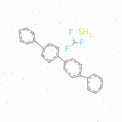 FC(F)F.S.c1ccc(-c2ccc(-c3ccc(-c4ccccc4)cc3)cc2)cc1